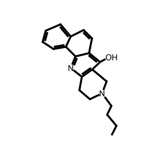 CCCCN1CCc2nc3c(ccc4ccccc43)c(O)c2C1